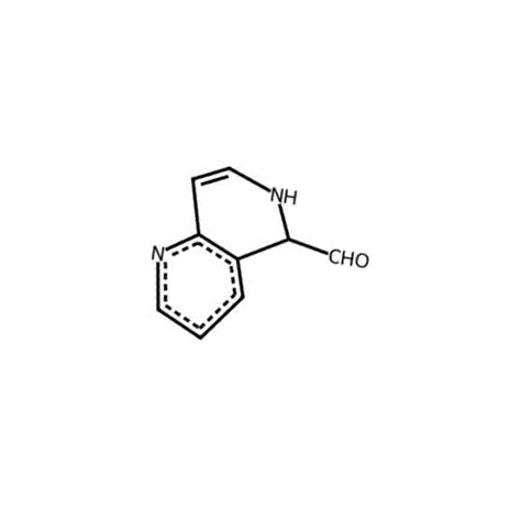 O=CC1NC=Cc2ncccc21